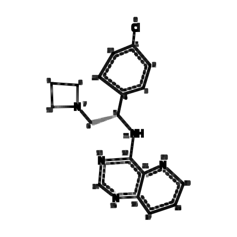 Clc1ccc([C@@H](CN2CCC2)Nc2ncnc3cccnc23)cc1